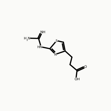 N=C(N)Nc1nc(CCC(=O)O)cs1